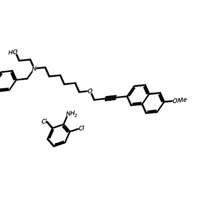 COc1ccc2cc(C#CCOCCCCCCN(CCO)Cc3ccccc3)ccc2c1.Nc1c(Cl)cccc1Cl